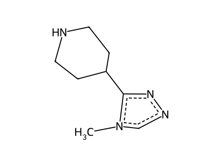 Cn1cnnc1C1CCNCC1